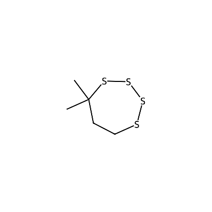 CC1(C)CCSSSS1